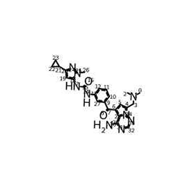 CN(C)Cc1cc(C(=O)c2cccc(NC(=O)Nc3cc(C4CC4)nn3C)c2)c2c(N)ncnn12